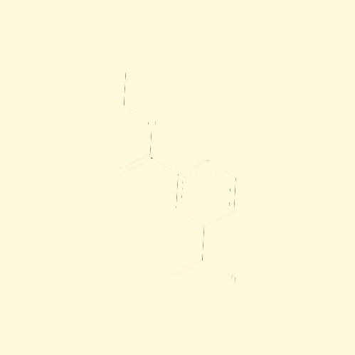 CCOC(=O)c1cccc(C(C)Br)c1